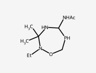 CCN1OCPC(NC(C)=O)NC1(C)C